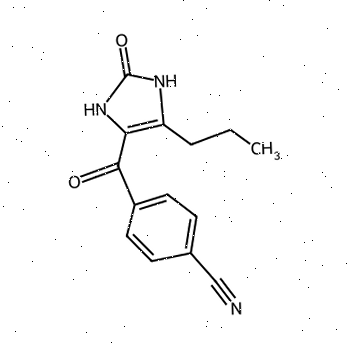 CCCc1[nH]c(=O)[nH]c1C(=O)c1ccc(C#N)cc1